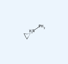 C1CC1.NP